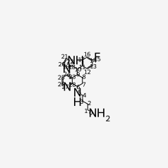 NCCCCNC1CCC(C(c2ccc(F)cc2)c2ncc[nH]2)c2cccnc21